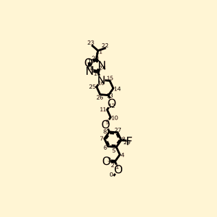 COC(=O)Cc1ccc(OCCOC2CCN(c3noc(C(C)C)n3)CC2)cc1F